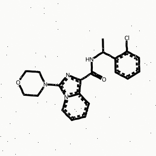 CC(NC(=O)c1nc(N2CCOCC2)n2ccccc12)c1ccccc1Cl